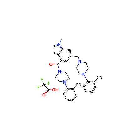 Cn1ccc2c(C(=O)N3CCN(c4ccccc4C#N)CC3)cc(CN3CCN(c4ccccc4C#N)CC3)cc21.O=C(O)C(F)(F)F